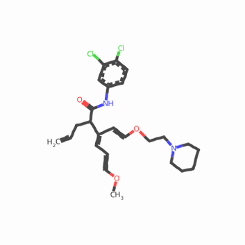 C=CCC(C(=O)Nc1ccc(Cl)c(Cl)c1)C(/C=C/OCCN1CCCCC1)=C/C=C/OC